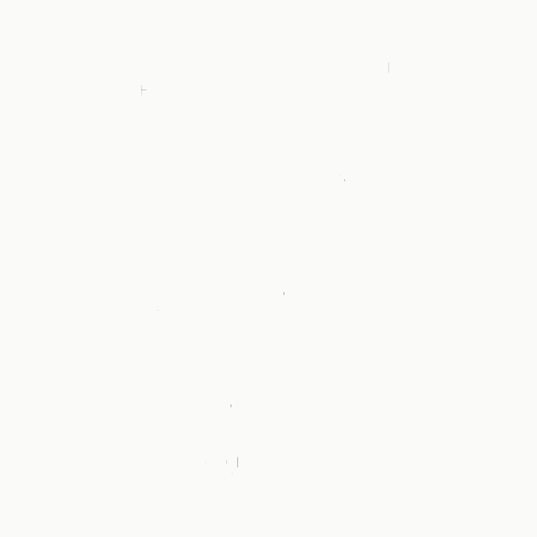 O=C(O)COc1cc(Cl)c(Cc2ccc(O)c(C(c3ccc(F)cc3)c3ccc(F)cc3)c2)c(Cl)c1